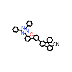 N#Cc1cccc2c1C1(CCCCC1)c1cc(-c3ccc4oc5c(-c6nc(-c7ccccc7)nc(-c7ccccc7)n6)cccc5c4c3)ccc1-2